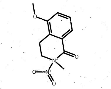 COc1cccc2c1CC[N+](C)([N+](=O)[O-])C2=O